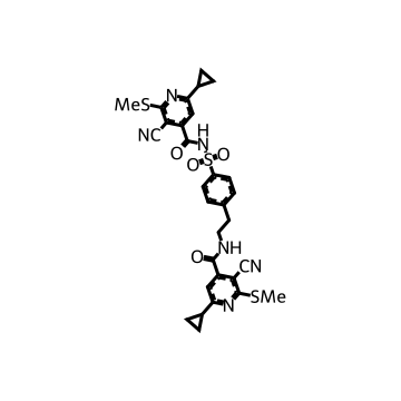 CSc1nc(C2CC2)cc(C(=O)NCCc2ccc(S(=O)(=O)NC(=O)c3cc(C4CC4)nc(SC)c3C#N)cc2)c1C#N